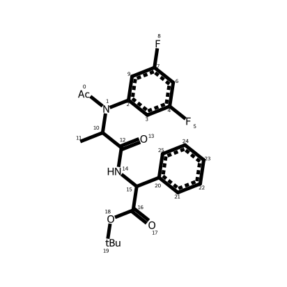 CC(=O)N(c1cc(F)cc(F)c1)C(C)C(=O)NC(C(=O)OC(C)(C)C)c1ccccc1